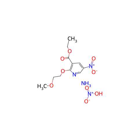 CCOC(=O)c1cc([N+](=O)[O-])cnc1OCCOC.N.O=[N+]([O-])O